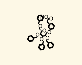 O=C(O)Cc1cccc(O[C@H]2O[C@H](COCc3ccccc3)[C@@H](OCc3ccccc3)[C@H](OCc3ccccc3)[C@@H]2OCc2ccccc2)c1